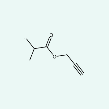 C#CCOC(=O)C([CH2])C